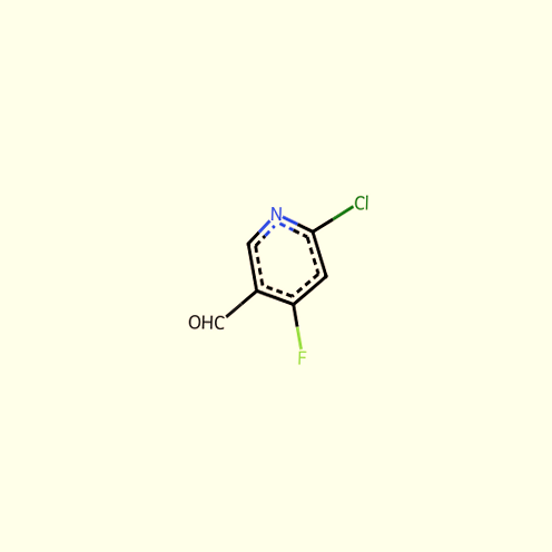 O=Cc1cnc(Cl)cc1F